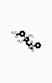 CC(=O)c1cccc(-n2c(C)cc(C=C3SC(=O)N(c4ccccc4)C3=O)c2C)c1